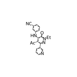 CCn1nc(-c2cccnc2)c(C(C)=O)c(Nc2cccc(C#N)c2)c1=O